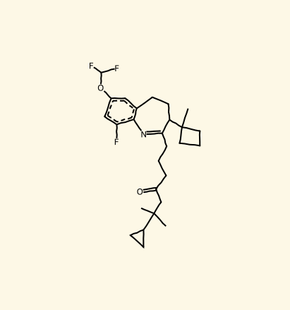 CC(C)(CC(=O)CCCC1=Nc2c(F)cc(OC(F)F)cc2CCC1C1(C)CCC1)C1CC1